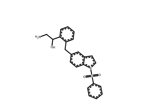 NCC(O)c1ccccc1Cc1ccc2c(ccn2S(=O)(=O)c2ccccc2)c1